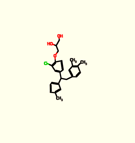 Cc1cccc(C(Cc2ccc(C)c(C)c2)c2ccc(OCC(O)CO)c(Cl)c2)c1